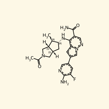 CC(=O)N1C[C@H]2C[C@@H](Nc3c(C(N)=O)cnn4cc(-c5cnc(N)c(F)c5)cc34)[C@H](C)[C@H]2C1